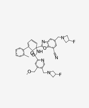 COCc1cc(C(=O)NC2(c3nc4cc(CN5CC(F)C5)cc(C#N)c4o3)C=CC=C(c3ccccc3C)C2Cl)ncc1CN1CC(F)C1